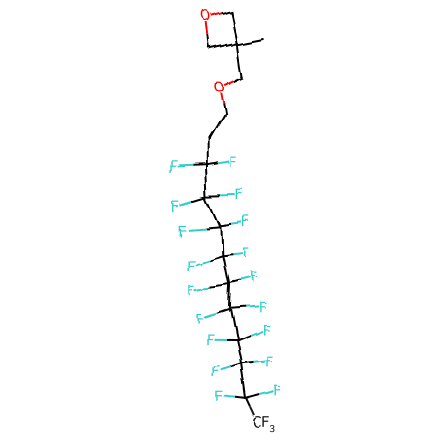 CC1(COCCC(F)(F)C(F)(F)C(F)(F)C(F)(F)C(F)(F)C(F)(F)C(F)(F)C(F)(F)C(F)(F)C(F)(F)F)COC1